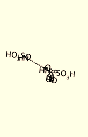 O=C(CCCCCCCCCCCCCCCC(=O)Nc1ccc2c(c1)C(COC(=O)ON1C(=O)CCC1=O)c1cc(S(=O)(=O)O)ccc1-2)NCCS(=O)(=O)O